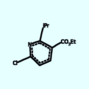 CCOC(=O)c1ccc(Cl)nc1C(C)C